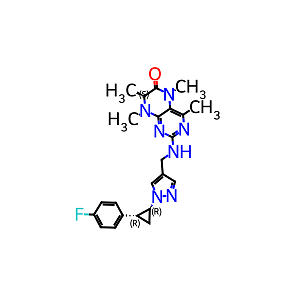 Cc1nc(NCc2cnn([C@@H]3C[C@@H]3c3ccc(F)cc3)c2)nc2c1N(C)C(=O)[C@H](C)N2C